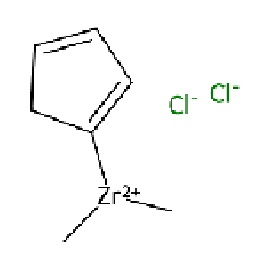 [CH3][Zr+2]([CH3])[C]1=CC=CC1.[Cl-].[Cl-]